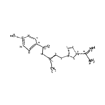 CN(CCC1=CCN(C(=N)N)C1)CC(=O)c1ccc(O)cc1